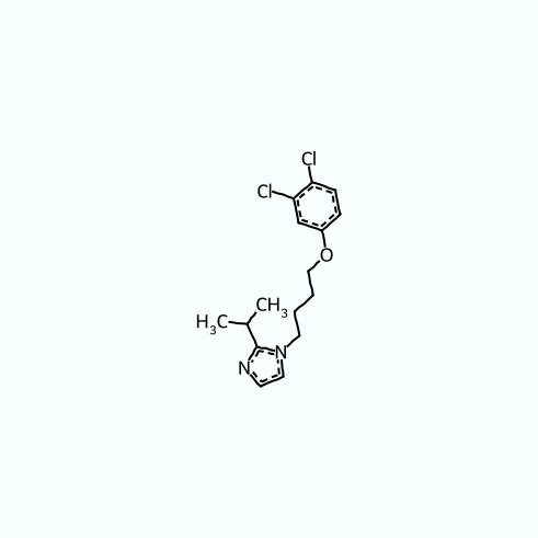 CC(C)c1nccn1CCCCOc1ccc(Cl)c(Cl)c1